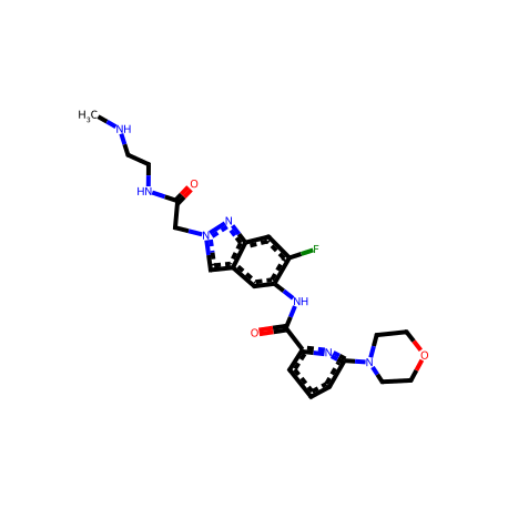 CNCCNC(=O)Cn1cc2cc(NC(=O)c3cccc(N4CCOCC4)n3)c(F)cc2n1